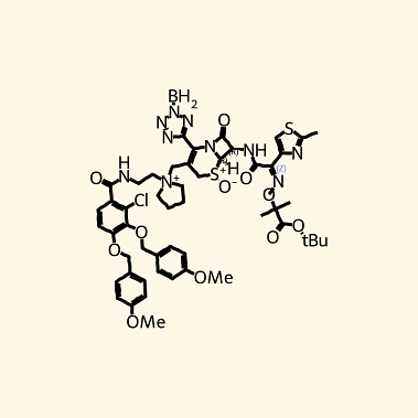 Bn1nnc(C2=C(C[N+]3(CCNC(=O)c4ccc(OCc5ccc(OC)cc5)c(OCc5ccc(OC)cc5)c4Cl)CCCC3)C[S+]([O-])[C@@H]3[C@H](NC(=O)/C(=N\OC(C)(C)C(=O)OC(C)(C)C)c4csc(C)n4)C(=O)N23)n1